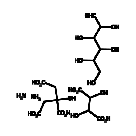 N.N.O=C(O)C(O)C(O)C(=O)O.O=C(O)CC(O)(CC(=O)O)C(=O)O.O=CC(O)C(O)C(O)C(O)CO